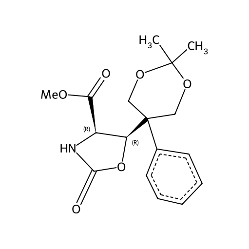 COC(=O)[C@@H]1NC(=O)O[C@@H]1C1(c2ccccc2)COC(C)(C)OC1